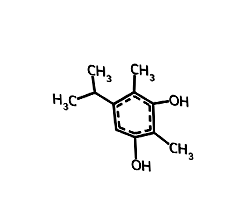 Cc1c(O)cc(C(C)C)c(C)c1O